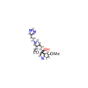 COc1ccc2nccc([C@H](O)CC[C@@H]3CCN(CCCc4cncnc4)C[C@H]3CCC(=O)O)c2c1